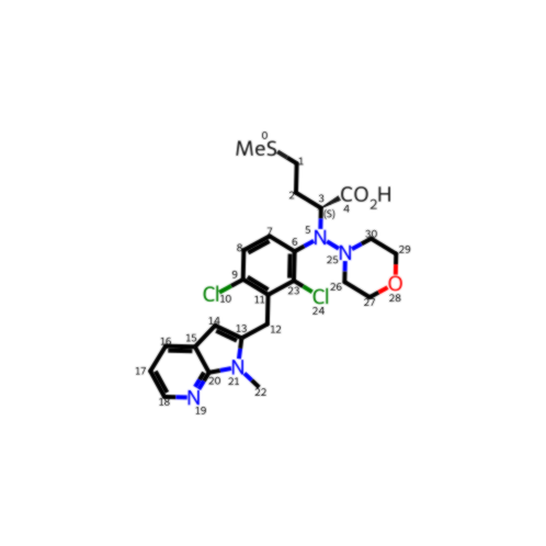 CSCC[C@@H](C(=O)O)N(c1ccc(Cl)c(Cc2cc3cccnc3n2C)c1Cl)N1CCOCC1